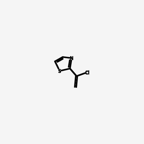 C=C(Cl)c1nccs1